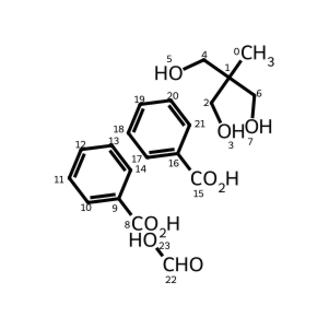 CC(CO)(CO)CO.O=C(O)c1ccccc1.O=C(O)c1ccccc1.O=CO